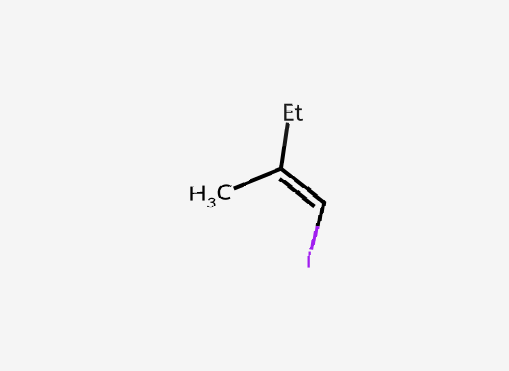 CCC(C)=CI